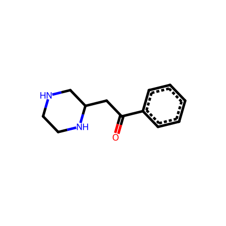 O=C(CC1CNCCN1)c1ccccc1